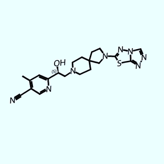 Cc1cc([C@@H](O)CN2CCC3(CC2)CCN(c2nn4cnnc4s2)C3)ncc1C#N